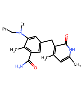 CCN(CC(C)C)c1cc(Cc2c(C)cc(C)[nH]c2=O)cc(C(N)=O)c1C